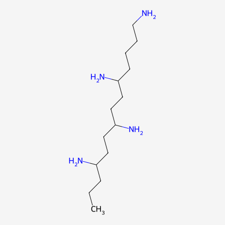 CCCC(N)CCC(N)CCC(N)CCCCN